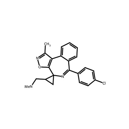 CNCC1CC12N=C(c1ccc(Cl)cc1)c1ccccc1-c1c(C)noc12